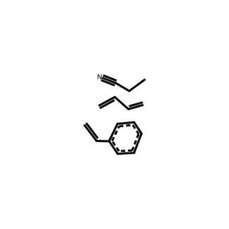 C=CC=C.C=Cc1ccccc1.CCC#N